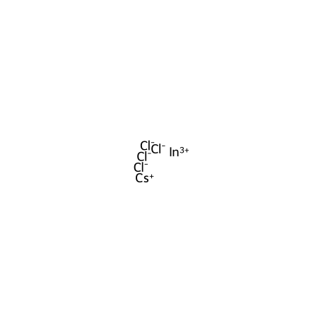 [Cl-].[Cl-].[Cl-].[Cl-].[Cs+].[In+3]